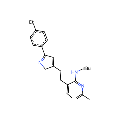 C=C(C)/N=C(NCCCC)\C(=C/C)CCC1=CC(c2ccc(CC)cc2)=NC1